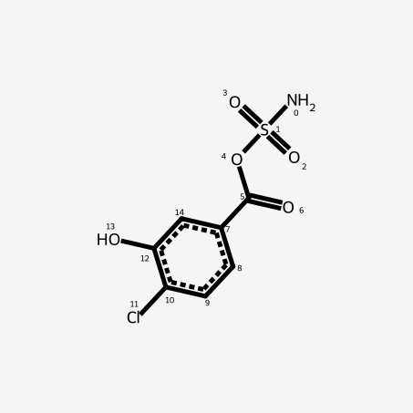 NS(=O)(=O)OC(=O)c1ccc(Cl)c(O)c1